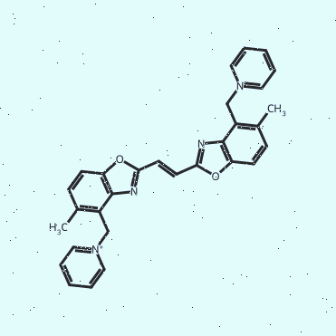 Cc1ccc2oc(C=Cc3nc4c(C[n+]5ccccc5)c(C)ccc4o3)nc2c1C[n+]1ccccc1